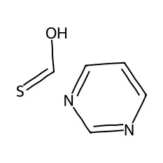 OC=S.c1cncnc1